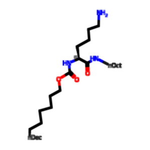 CCCCCCCCCCCCCCCCOC(=O)N[C@@H](CCCCN)C(=O)NCCCCCCCC